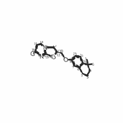 CC1(C)CCCc2cc(OC[C@@H]3Cn4ccc(=O)nc4O3)ccc21